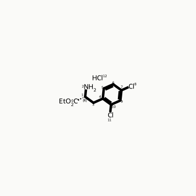 CCOC(=O)[C@H](N)Cc1ccc(Cl)cc1Cl.Cl